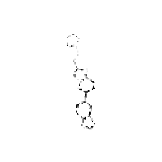 c1cc2cc(-c3ccc4nc(CCN5CCCC5)cn4c3)ccc2[nH]1